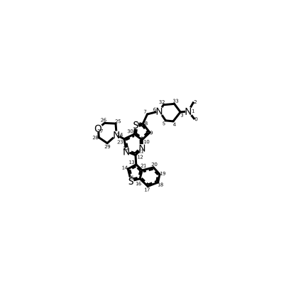 CN(C)C1CCN(Cc2cc3nc(-c4csc5ccccc45)nc(N4CCOCC4)c3s2)CC1